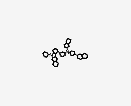 c1ccc(-n2c3cc4ccccc4cc3c3c(-c4cccc(N(c5ccc(-c6ccc7ccccc7c6)cc5)c5ccc6ccccc6c5)c4)cccc32)cc1